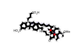 C=C1N=C(/C=C/C=C/C=C/C=C2/N(CCCS(=O)(=O)O)c3ccc(S(=O)(=O)O)cc3C2(C)c2ccc(C(=O)NCCN3C(=O)C=CC3=O)cc2)C(C)(C)/C1=C/C(=C\C)C(=O)N(C)OC